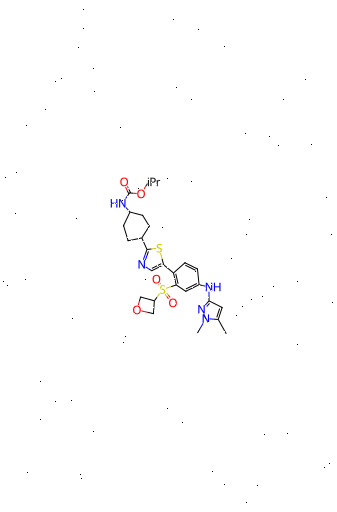 Cc1cc(Nc2ccc(-c3cnc(C4CCC(NC(=O)OC(C)C)CC4)s3)c(S(=O)(=O)C3COC3)c2)nn1C